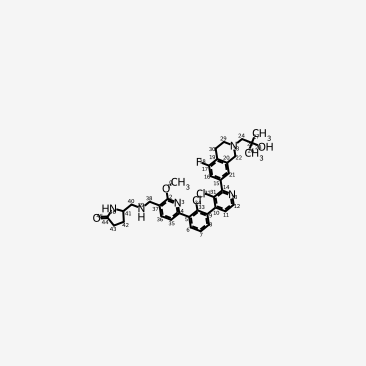 COc1nc(-c2cccc(-c3ccnc(-c4cc(F)c5c(c4)CN(CC(C)(C)O)CC5)c3Cl)c2Cl)ccc1CNCC1CCC(=O)N1